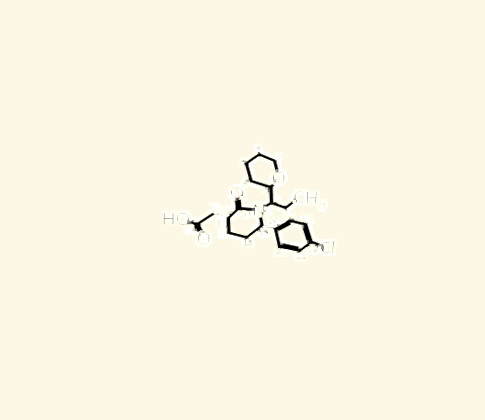 CCC(C1CCCCO1)N1C(=O)[C@@H](CC(=O)O)CC[C@H]1c1ccc(Cl)cc1